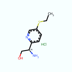 CCSc1ccc([C@@H](N)CO)nc1.Cl